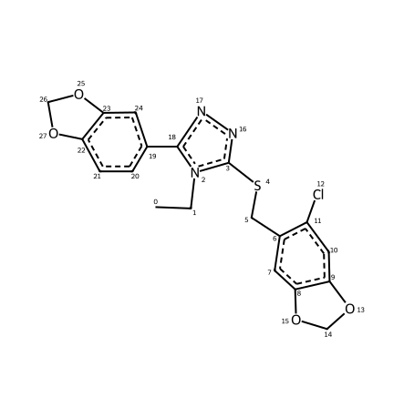 CCn1c(SCc2cc3c(cc2Cl)OCO3)nnc1-c1ccc2c(c1)OCO2